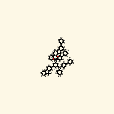 CC1(C)c2ccccc2-c2ccc(-c3cc(N(c4ccccc4)c4ccc(-c5ccccc5)cc4)cc(N(c4ccccc4)c4ccc5c(c4)C4(c6ccccc6-5)c5ccc(-c6ccccc6)cc5-c5ccc6ccccc6c54)c3)cc21